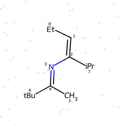 CC/C=C(\N=C(/C)C(C)(C)C)C(C)C